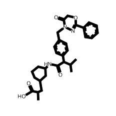 CC(CC1CCCC(NC(=O)C(c2ccc(CN3N=C(c4ccccc4)OCC3=O)cc2)C(C)C)C1)C(=O)O